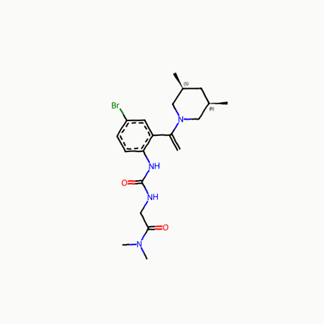 C=C(c1cc(Br)ccc1NC(=O)NCC(=O)N(C)C)N1C[C@H](C)C[C@H](C)C1